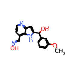 COc1cccc(C(O)c2cc3nccc(C=NO)c3[nH]2)c1